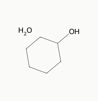 O.OC1CCCCC1